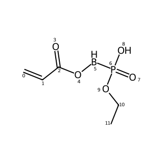 C=CC(=O)OBP(=O)(O)OCC